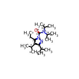 CCc1c(C(C)C)c(C(C)C)nn1C(=O)N(C(C)C)C(C)C